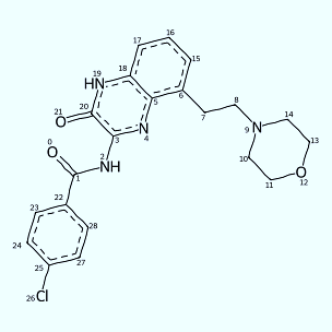 O=C(Nc1nc2c(CCN3CCOCC3)cccc2[nH]c1=O)c1ccc(Cl)cc1